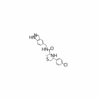 O=C(NCc1ccc2[nH]ncc2c1)[C@@H]1[CH]SCC(c2ccc(Cl)cc2)N1